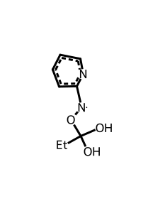 CCC(O)(O)O[N]c1ccccn1